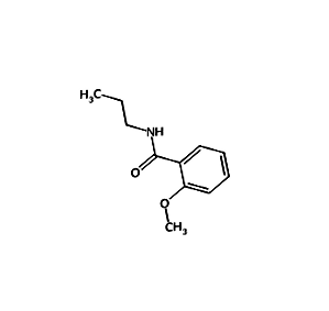 CCCNC(=O)c1ccccc1OC